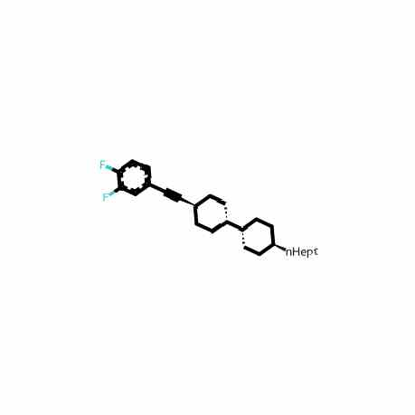 CCCCCCC[C@H]1CC[C@H]([C@H]2CC[C@H](C#Cc3ccc(F)c(F)c3)CC2)CC1